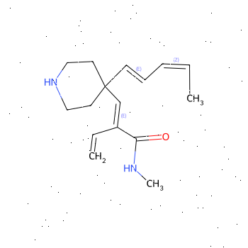 C=C/C(=C\C1(/C=C/C=C\C)CCNCC1)C(=O)NC